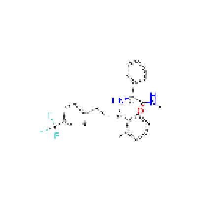 CNC(=O)[C@@H](N[C@@H](CCc1ccc(C(F)(F)F)cc1)c1ccccc1C)c1ccccc1